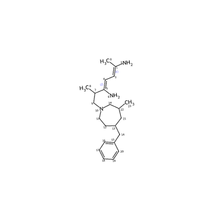 C/C(N)=C\C=C(/N)C(C)CN1CCC(Cc2ccccc2)CC(C)C1